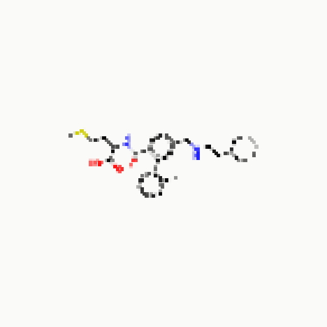 CSCCC(NC(=O)c1ccc(CNCCC2CCCCC2)cc1-c1ccccc1C)C(=O)O